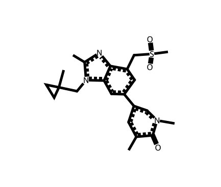 Cc1cc(-c2cc(CS(C)(=O)=O)c3nc(C)n(CC4(C)CC4)c3c2)cn(C)c1=O